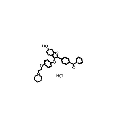 Cl.O=C(c1ccccc1)c1ccc(-c2sc3cc(O)ccc3c2Oc2ccc(OCCN3CCCCC3)cc2)cc1